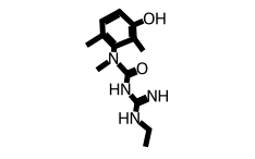 CCNC(=N)NC(=O)N(C)c1c(C)ccc(O)c1C